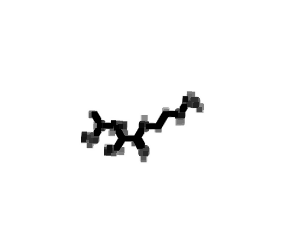 CB(O)NC(C(=O)OCCO[N+](=O)[O-])C(C)C